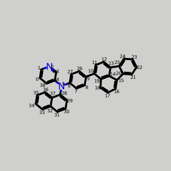 c1cncc(N(c2ccc(-c3ccc4c5c(cccc35)-c3ccccc3-4)cc2)c2cccc3ccccc23)c1